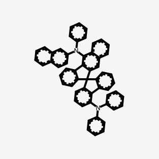 c1ccc(N(c2ccccc2)c2cccc3c2-c2ccccc2C32c3ccccc3-c3c2cc2ccccc2c3N(c2ccccc2)c2ccc3ccccc3c2)cc1